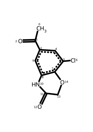 CC(=O)c1cc(Cl)c2c(c1)NC(=O)CO2